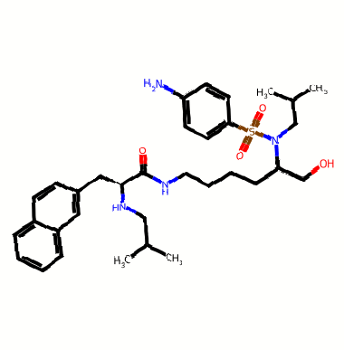 CC(C)CN[C@@H](Cc1ccc2ccccc2c1)C(=O)NCCCCC(CO)N(CC(C)C)S(=O)(=O)c1ccc(N)cc1